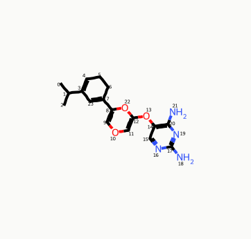 CC(C)C1=CCCC(C2=COC=C(Oc3cnc(N)nc3N)O2)=C1